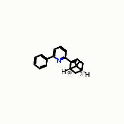 CC1(C)[C@H]2CC=C(c3cccc(-c4ccccc4)n3)[C@H]1C2